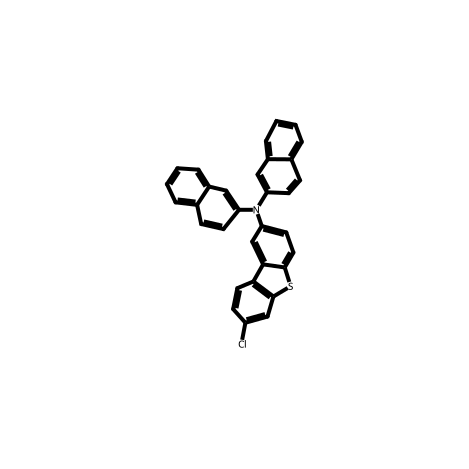 Clc1ccc2c(c1)sc1ccc(N(c3ccc4ccccc4c3)c3ccc4ccccc4c3)cc12